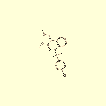 COC=C(C(=O)OC)c1ccccc1OC(C)(C)c1ccc(Cl)cc1